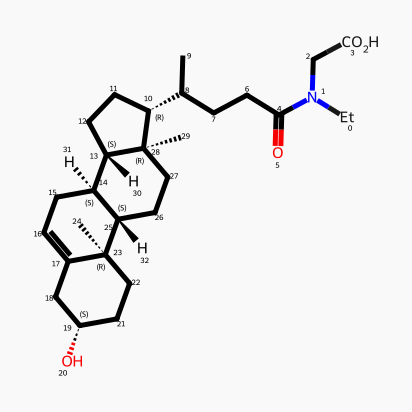 CCN(CC(=O)O)C(=O)CCC(C)[C@H]1CC[C@H]2[C@@H]3CC=C4C[C@@H](O)CC[C@]4(C)[C@H]3CC[C@]12C